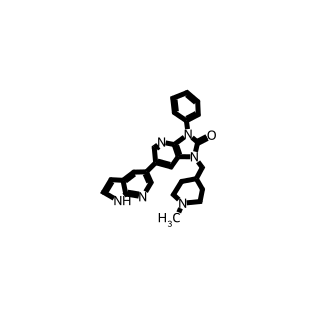 CN1CCC(Cn2c(=O)n(-c3ccccc3)c3ncc(-c4cnc5[nH]ccc5c4)cc32)CC1